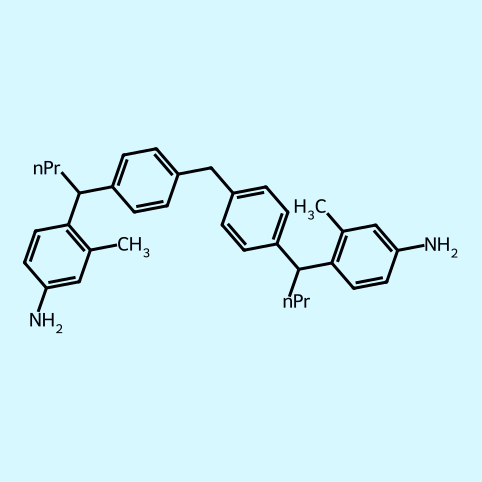 CCCC(c1ccc(Cc2ccc(C(CCC)c3ccc(N)cc3C)cc2)cc1)c1ccc(N)cc1C